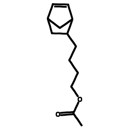 CC(=O)OCCCCC1CC2C=CC1C2